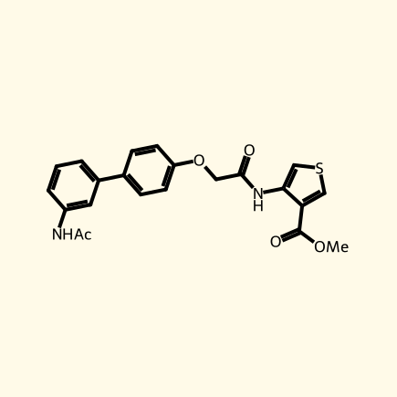 COC(=O)c1cscc1NC(=O)COc1ccc(-c2cccc(NC(C)=O)c2)cc1